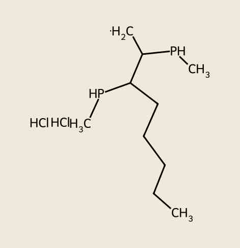 Cl.Cl.[CH2]C(PC)C(CCCCC)PC